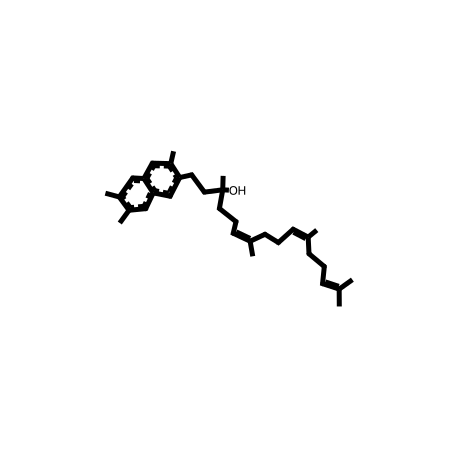 CC(C)=CCCC(C)=CCCC(C)=CCCC(C)(O)CCc1cc2cc(C)c(C)cc2cc1C